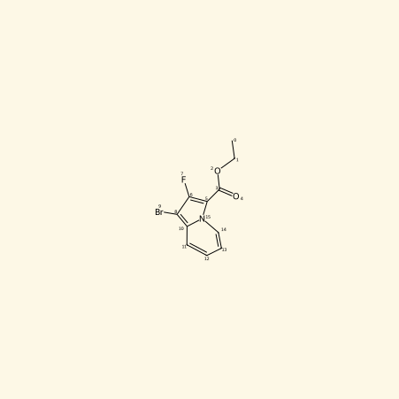 CCOC(=O)c1c(F)c(Br)c2ccccn12